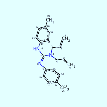 C=CCN(CC=C)C(=Nc1ccc(C)cc1)Nc1ccc(C)cc1